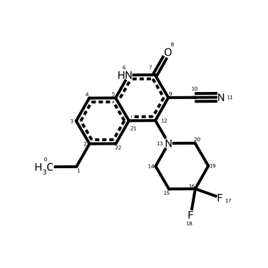 CCc1ccc2[nH]c(=O)c(C#N)c(N3CCC(F)(F)CC3)c2c1